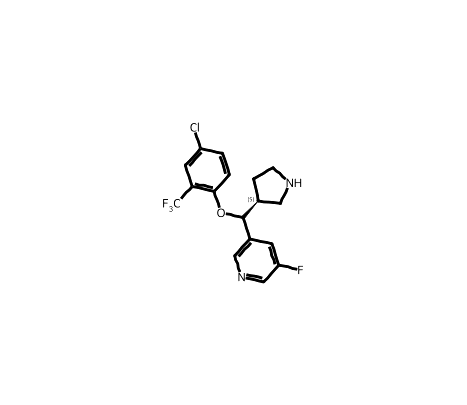 Fc1cncc(C(Oc2ccc(Cl)cc2C(F)(F)F)[C@H]2CCNC2)c1